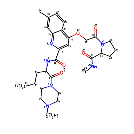 CCOC(=O)N1CCN(C(=O)C(CCC(=O)O)NC(=O)c2cc(OCC(=O)N3CCCC3C(=O)NC(C)C)c3ccc(C)cc3n2)CC1